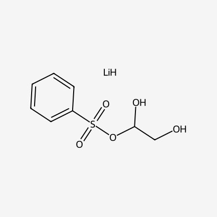 O=S(=O)(OC(O)CO)c1ccccc1.[LiH]